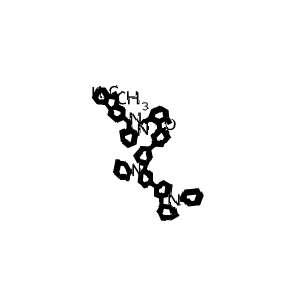 CC1(C)c2ccccc2-c2ccc(-c3nc(-c4cccc5oc6ccc(-c7ccc8c(c7)c7cc(-c9ccc%10c(c9)c9ccccc9n%10-c9ccccc9)ccc7n8-c7ccccc7)cc6c45)nc4ccccc34)cc21